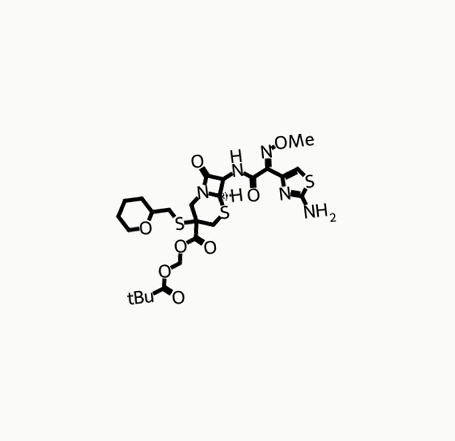 CON=C(C(=O)NC1C(=O)N2CC(SCC3CCCCO3)(C(=O)OCOC(=O)C(C)(C)C)CS[C@H]12)c1csc(N)n1